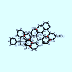 CC(C)(C)c1cc(-c2cccc3cccc(-c4ccccc4N(c4ccccc4-c4cccc5c4-c4ccccc4C5(C)c4ccccc4)c4cccc5c4-c4ccccc4C5(C)C)c23)cc(C(C)(C)C)c1